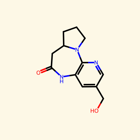 O=C1CC2CCCN2c2ncc(CO)cc2N1